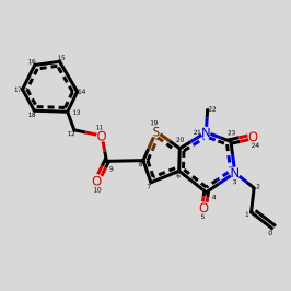 C=CCn1c(=O)c2cc(C(=O)OCc3ccccc3)sc2n(C)c1=O